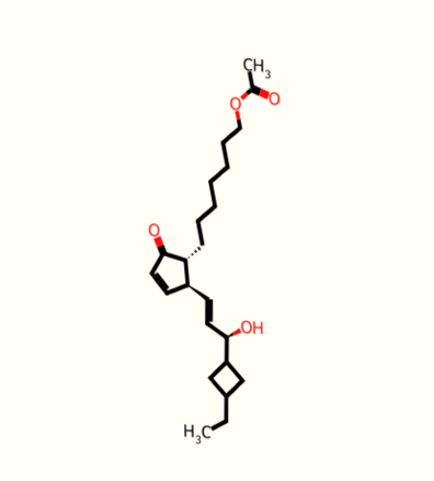 CCC1CC([C@H](O)/C=C/[C@H]2C=CC(=O)[C@@H]2CCCCCCCOC(C)=O)C1